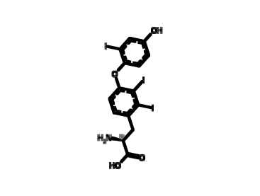 N[C@@H](Cc1ccc(Oc2ccc(O)cc2I)c(I)c1I)C(=O)O